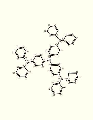 C1=CC(N(c2ccccc2)C2C=CC(N(c3ccc(N(c4ccccc4)c4ccccc4)cc3)c3ccc(N(c4ccccc4)c4ccccc4)cc3)=CC2)=CCC1